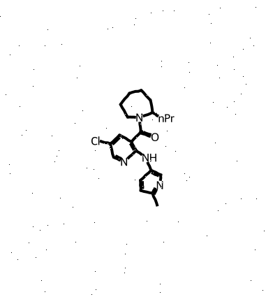 CCCC1CCCCCN1C(=O)c1cc(Cl)cnc1Nc1ccc(C)nc1